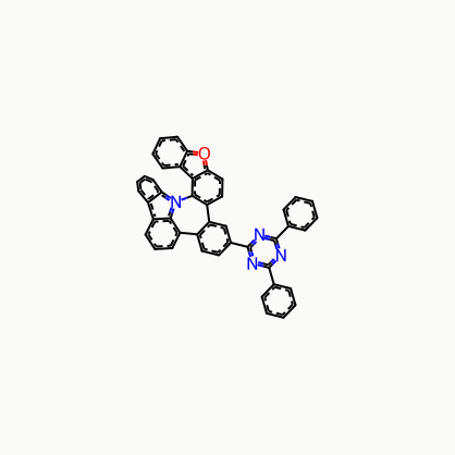 c1ccc(-c2nc(-c3ccccc3)nc(-c3ccc4c(c3)-c3ccc5oc6ccccc6c5c3-n3c5ccccc5c5cccc-4c53)n2)cc1